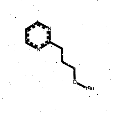 CC(C)(C)OCCCc1ncccn1